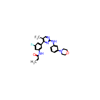 C=CC(=O)Nc1cc(F)cc(-c2nc(Nc3cccc(N4CCOCC4)c3)ncc2C(F)(F)F)c1